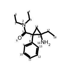 CCN(CC)C(=O)C1(c2ccccc2)CC1(N)CC